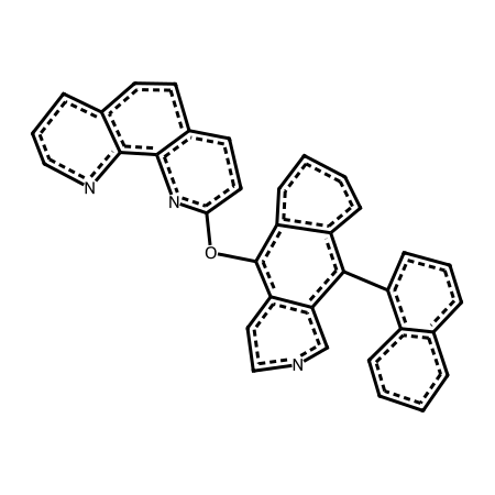 c1ccc2c(-c3c4ccccc4c(Oc4ccc5ccc6cccnc6c5n4)c4ccncc34)cccc2c1